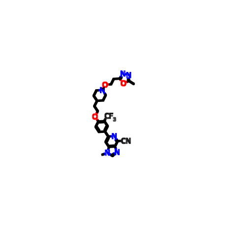 Cc1nnc(CCON2CCC(CCOc3ccc(-c4cc5c(ncn5C)c(C#N)n4)cc3C(F)(F)F)CC2)o1